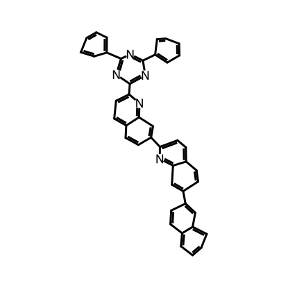 c1ccc(-c2nc(-c3ccccc3)nc(-c3ccc4ccc(-c5ccc6ccc(-c7ccc8ccccc8c7)cc6n5)cc4n3)n2)cc1